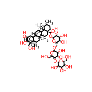 C[C@H]1[C@H](C)CC[C@]2(C(=O)O[C@@H]3O[C@H](CO[C@@H]4O[C@H](CO)[C@@H](O[C@@H]5O[C@@H](CO)[C@H](O)[C@@H](O)[C@H]5O)[C@H](O)[C@H]4O)[C@@H](O)[C@H](O)[C@H]3O)CC[C@]3(C)C(=CC[C@@H]4[C@@]5(C)C[C@@H](O)[C@H](O)[C@@](C)(CO)[C@@H]5CC[C@]43C)[C@H]12